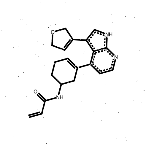 C=CC(=O)NC1CCC=C(c2ccnc3[nH]cc(C4=CCOC4)c23)C1